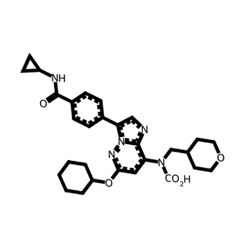 O=C(NC1CC1)c1ccc(-c2cnc3c(N(CC4CCOCC4)C(=O)O)cc(OC4CCCCC4)nn23)cc1